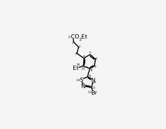 CCOC(=O)CCCc1cccc(-c2nc(Br)ns2)c1CC